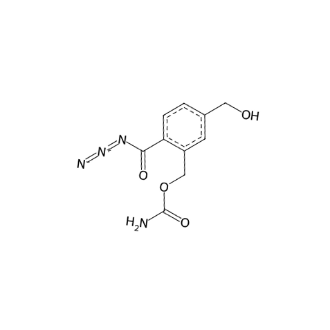 [N-]=[N+]=NC(=O)c1ccc(CO)cc1COC(N)=O